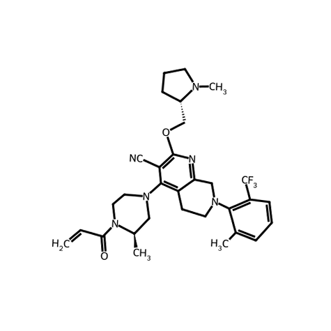 C=CC(=O)N1CCN(c2c(C#N)c(OC[C@@H]3CCCN3C)nc3c2CCN(c2c(C)cccc2C(F)(F)F)C3)C[C@H]1C